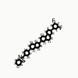 Fc1cc(F)cc(-c2ccc3c(ccc4cc(-c5ccc6cc(-c7ccc(-c8nc9ccccc9s8)cc7)ccc6c5)ccc43)c2)c1